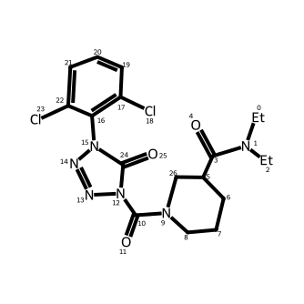 CCN(CC)C(=O)C1CCCN(C(=O)n2nnn(-c3c(Cl)cccc3Cl)c2=O)C1